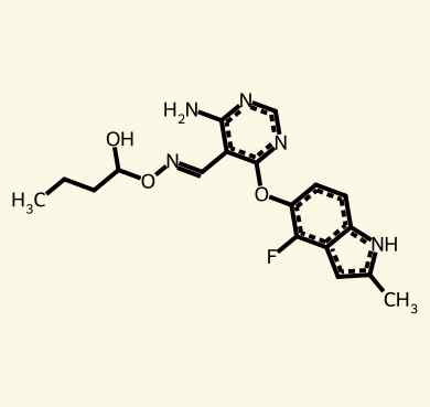 CCCC(O)ON=Cc1c(N)ncnc1Oc1ccc2[nH]c(C)cc2c1F